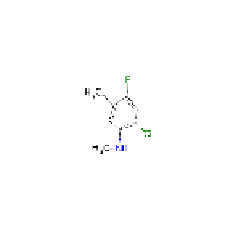 CNc1cc(C)c(F)cc1Cl